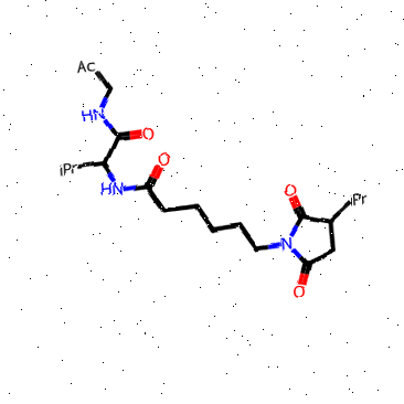 CC(=O)CNC(=O)C(NC(=O)CCCCCN1C(=O)CC(C(C)C)C1=O)C(C)C